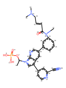 CC(OP(=O)(O)O)n1cc(-c2ccnc(C#N)c2)c2cc(-c3cccc(N(C)C(=O)C=CCN(C)C)c3)cnc21